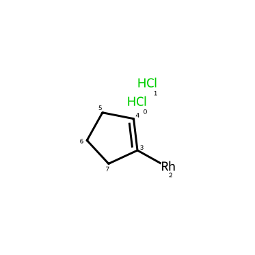 Cl.Cl.[Rh][C]1=CCCC1